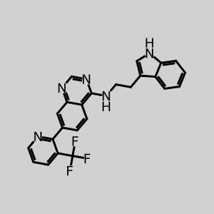 FC(F)(F)c1cccnc1-c1ccc2c(NCCc3c[nH]c4ccccc34)ncnc2c1